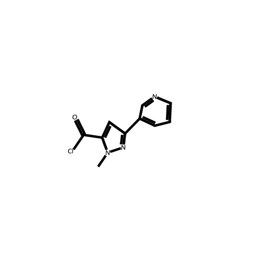 Cn1nc(-c2cccnc2)cc1C(=O)Cl